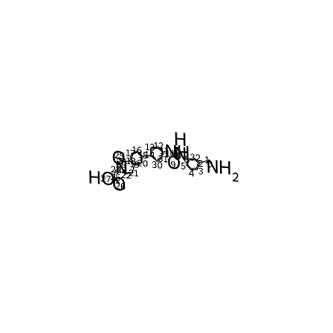 NCc1cccc(NC(=O)Nc2ccc(-c3ccc4c(c3)CCN(CC(=O)O)C4=O)cc2)c1